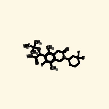 Cc1c(I)c([C@H](OC(C)(C)C)C(=O)O)c(C)c2c1CN(C1CCCC(F)(F)C1)C(=O)C2